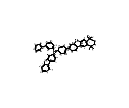 CC1(C)CCC(C)(C)c2cc3c(cc21)oc1cc(-c2ccc(N(c4cccc(-c5ccccc5)c4)c4ccc5c(c4)sc4ccccc45)cc2)ccc13